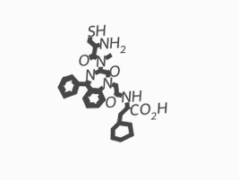 CN(C(=O)C(N)CS)C1N=C(c2ccccc2)c2ccccc2N(CC(=O)N[C@@H](CC2CCCCC2)C(=O)O)C1=O